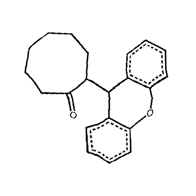 O=C1CCCCCCC1C1c2ccccc2Oc2ccccc21